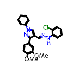 COc1ccc(-c2nn(-c3ccccc3)cc2/C=N/Nc2ccccc2Cl)cc1OC